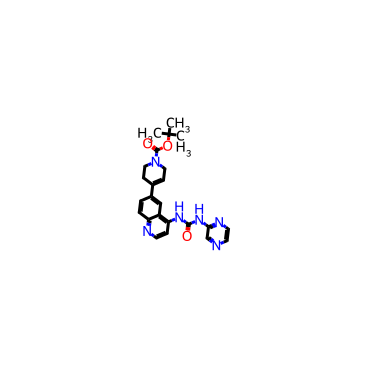 CC(C)(C)OC(=O)N1CC=C(c2ccc3nccc(NC(=O)Nc4cnccn4)c3c2)CC1